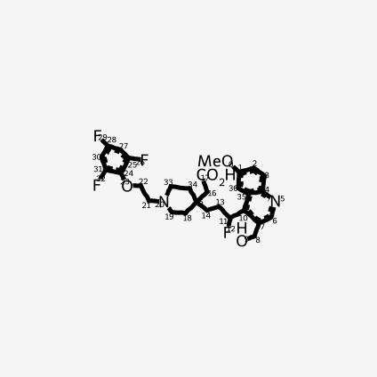 COc1ccc2ncc(CO)c(C(F)CCC3(CC(=O)O)CCN(CCOc4c(F)cc(F)cc4F)CC3)c2c1